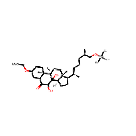 COCOC1CC[C@@]2(C)C(C1)C(=O)C(O)C1(O)[C@@H]3CC[C@H]([C@H](C)CCCC(C)CO[Si](C(C)C)(C(C)C)C(C)C)[C@@]3(C)CC[C@@H]12